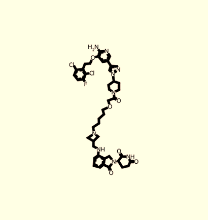 Nc1ncc(-c2cnn(C3CCN(C(=O)COCCCCCN4CC(CNc5cccc6c5CN([C@H]5CCC(=O)NC5=O)C6=O)C4)CC3)c2)cc1OCCc1c(Cl)ccc(F)c1Cl